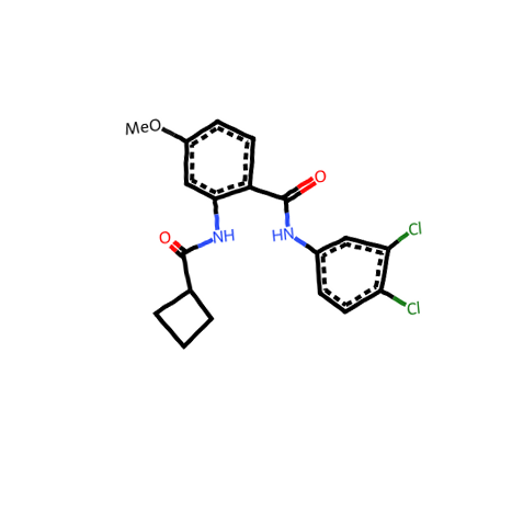 COc1ccc(C(=O)Nc2ccc(Cl)c(Cl)c2)c(NC(=O)C2CCC2)c1